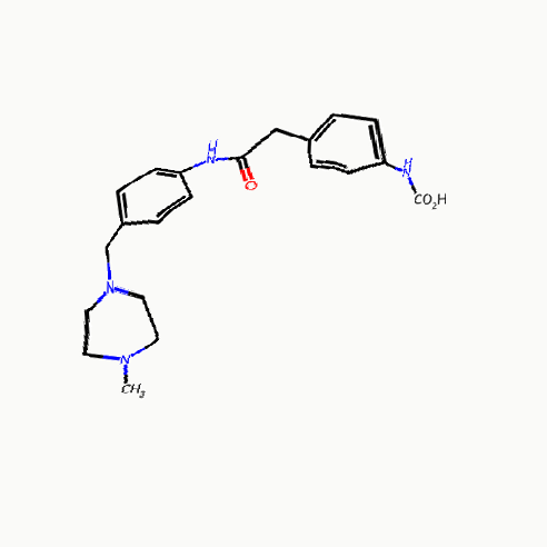 CN1CCN(Cc2ccc(NC(=O)Cc3ccc(NC(=O)O)cc3)cc2)CC1